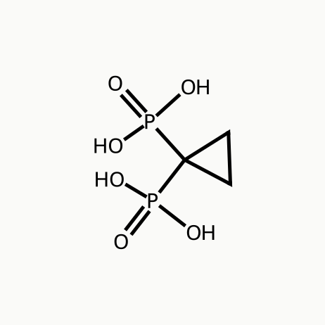 O=P(O)(O)C1(P(=O)(O)O)CC1